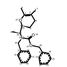 CC1=C(I)CC[C@@H]([C@H](C)N(Cc2ccccc2)C(=O)OCc2ccccc2)O1